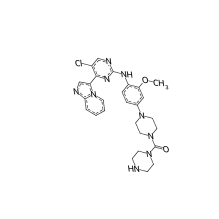 COc1cc(N2CCN(C(=O)N3CCNCC3)CC2)ccc1Nc1ncc(Cl)c(-c2cnc3ccccn23)n1